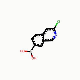 OB(O)c1ccc2cc(Cl)ncc2c1